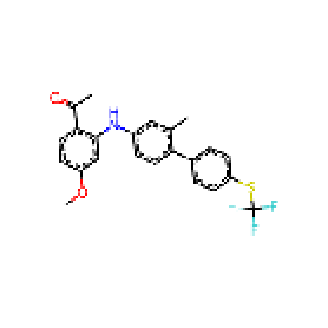 COc1ccc(C(C)=O)c(Nc2ccc(-c3ccc(SC(F)(F)F)cc3)c(C)c2)c1